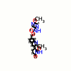 COc1cnc(NC(=O)OCc2ccc3cc(C4CCC(=O)NC4=O)c(C)nc3c2)cn1